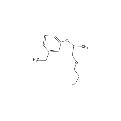 C=Cc1cccc(OC(C)COCCC(C)C)c1